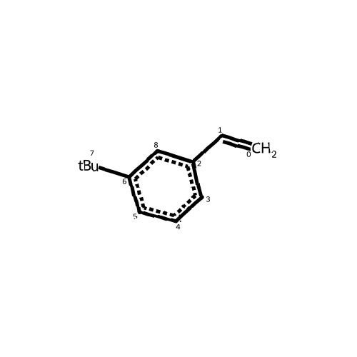 C=Cc1c[c]cc(C(C)(C)C)c1